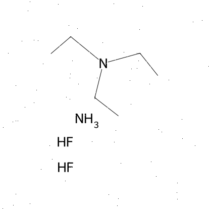 CCN(CC)CC.F.F.N